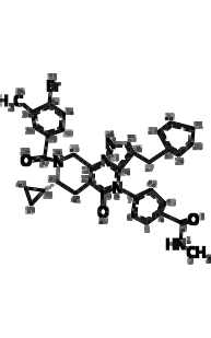 CNC(=O)c1ccc(-n2c(=O)c3c(n4ncc(Cc5ccccc5)c24)CN(C(=O)c2ccc(Br)c(C)c2)[C@@H](C2CC2)C3)cc1